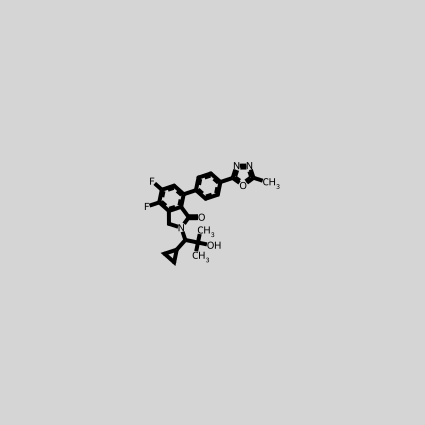 Cc1nnc(-c2ccc(-c3cc(F)c(F)c4c3C(=O)N(C(C3CC3)C(C)(C)O)C4)cc2)o1